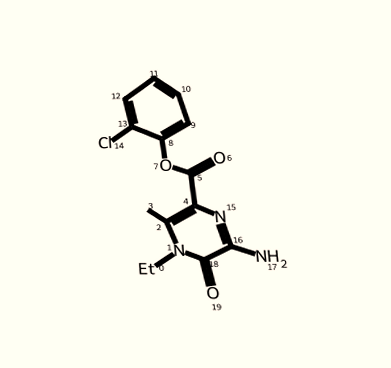 CCn1c(C)c(C(=O)Oc2ccccc2Cl)nc(N)c1=O